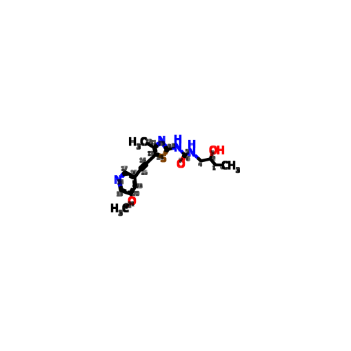 CCC(O)CNC(=O)Nc1nc(C)c(C#Cc2cncc(OC)c2)s1